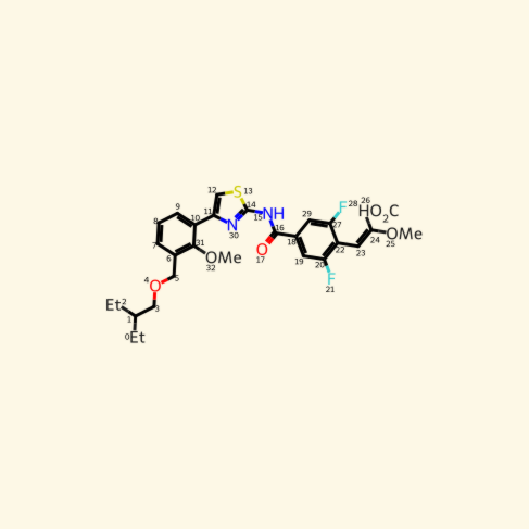 CCC(CC)COCc1cccc(-c2csc(NC(=O)c3cc(F)c(/C=C(/OC)C(=O)O)c(F)c3)n2)c1OC